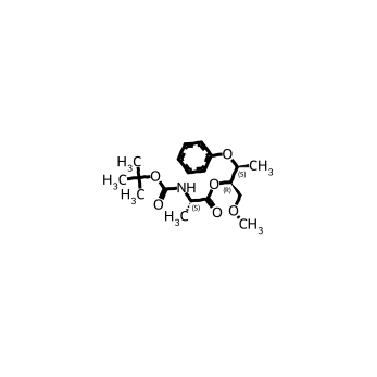 COC[C@@H](OC(=O)[C@H](C)NC(=O)OC(C)(C)C)[C@H](C)Oc1ccccc1